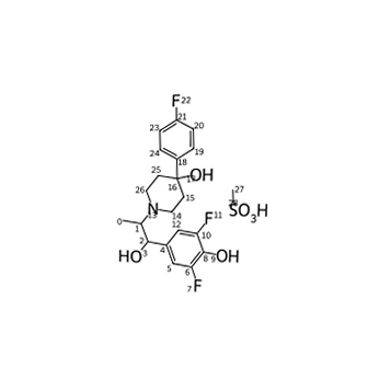 CC(C(O)c1cc(F)c(O)c(F)c1)N1CCC(O)(c2ccc(F)cc2)CC1.CS(=O)(=O)O